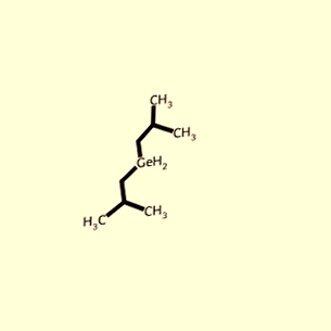 CC(C)[CH2][GeH2][CH2]C(C)C